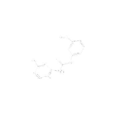 COc1cccc(NC(=O)Nc2cc(Cl)ncn2)c1